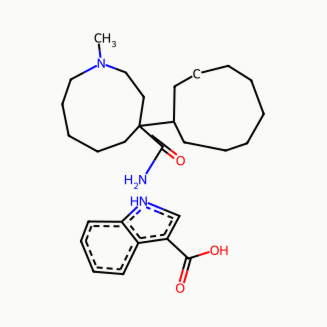 CN1CCCCCC(C(N)=O)(C2CCCCCCCC2)CC1.O=C(O)c1c[nH]c2ccccc12